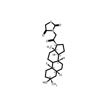 C[C@@]1(O)CC[C@]2(F)C3CC[C@]4(C)[C@@H](C(=O)CN5C(=O)CSC5=O)CC[C@H]4[C@@H]3CC[C@@H]2C1